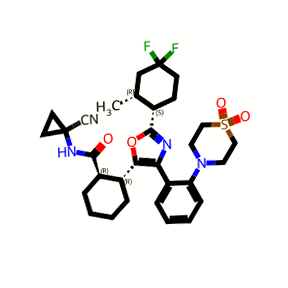 C[C@@H]1CC(F)(F)CC[C@@H]1c1nc(-c2ccccc2N2CCS(=O)(=O)CC2)c([C@@H]2CCCC[C@H]2C(=O)NC2(C#N)CC2)o1